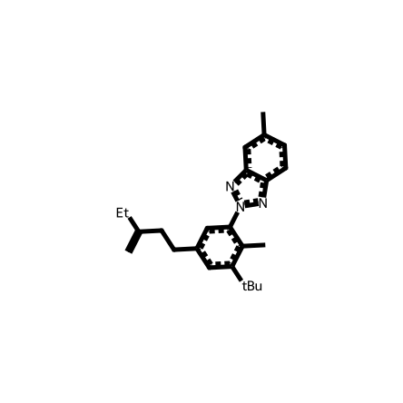 C=C(CC)CCc1cc(-n2nc3ccc(C)cc3n2)c(C)c(C(C)(C)C)c1